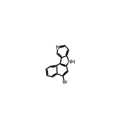 Brc1cc2[nH]c3ccncc3c2c2ccccc12